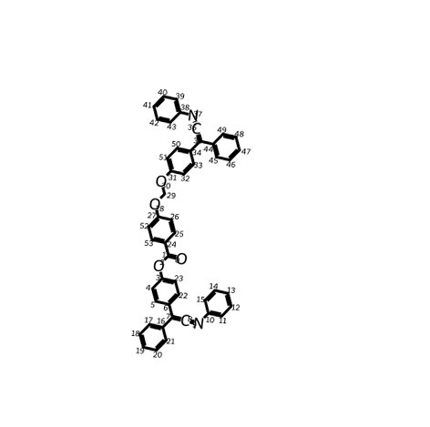 O=C(Oc1ccc(C(=C=Nc2ccccc2)c2ccccc2)cc1)c1ccc(OCOc2ccc(C(=C=Nc3ccccc3)c3ccccc3)cc2)cc1